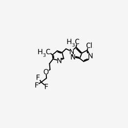 Cc1cc(Cn2nc3ccnc(Cl)c3c2C)cnc1CCOCC(F)(F)F